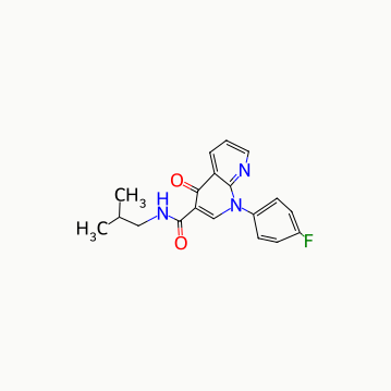 CC(C)CNC(=O)c1cn(-c2ccc(F)cc2)c2ncccc2c1=O